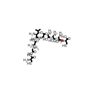 CC(C)C[C@H](N)C(=O)O.C[C@H](N)C(=O)O.C[C@H](N)C(=O)O.NCC(=O)O.NCC(=O)O.NCC(=O)O.NCC(=O)O.N[C@@H](CS)C(=O)O.N[C@@H](CS)C(=O)O